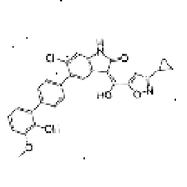 COc1cccc(-c2ccc(-c3cc4c(cc3Cl)NC(=O)C4=C(O)c3cc(C4CC4)no3)cc2)c1O